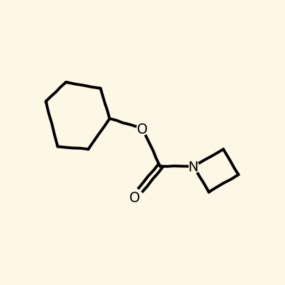 O=C(OC1CCCCC1)N1CCC1